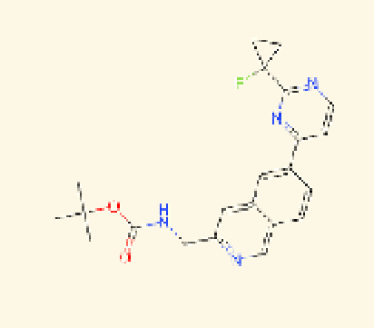 CC(C)(C)OC(=O)NCc1cc2cc(-c3ccnc(C4(F)CC4)n3)ccc2cn1